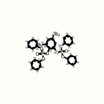 CC(C)(C)c1cc(OP(=O)(Oc2ccccc2)Oc2ccccc2)c(OP(=O)(Oc2ccccc2)Oc2ccccc2)c(C(C)(C)C)c1